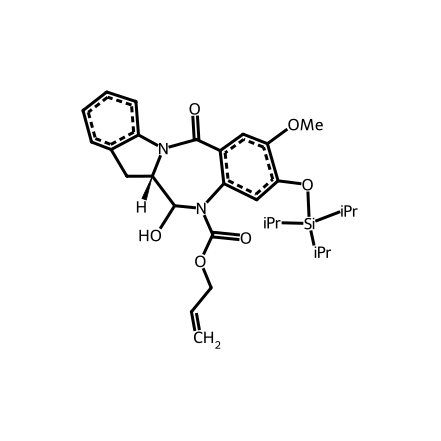 C=CCOC(=O)N1c2cc(O[Si](C(C)C)(C(C)C)C(C)C)c(OC)cc2C(=O)N2c3ccccc3C[C@H]2C1O